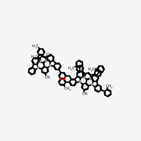 Cc1cccc(-c2ccc3c4ccccc4n(-c4cc(C#N)cc(-n5c6ccccc6c6ccc(-c7cccc(Cc8c(-c9ccccc9C)ccc9c8c8cc(-c%10ccccc%10C)ccc8n9-c8cc(C#N)cc(-n9c%10ccc(-c%11ccccc%11C)cc%10c%10cc(-c%11ccccc%11C)ccc%109)c8-c8nc(-c9ccccc9)cc(-c9ccccc9)n8)c7)cc65)c4-c4nc(C)cc(C)n4)c3c2)c1